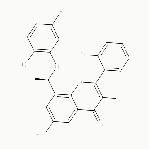 Cc1cc([C@@H](C)Nc2cc(F)ccc2C#N)c2oc(-c3ccccc3F)c(C)c(=O)c2c1